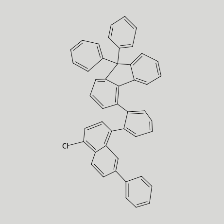 Clc1ccc(-c2ccccc2-c2cccc3c2-c2ccccc2C3(c2ccccc2)c2ccccc2)c2cc(-c3ccccc3)ccc12